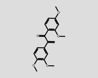 C=C(C(=O)c1ccc(OC)cc1OC)c1ccc(OC)c(OC)c1